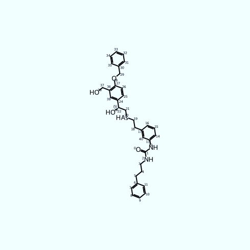 O=C(NCCCc1ccccc1)Nc1cccc(CC[AsH]C[C@@H](O)c2ccc(OCc3ccccc3)c(CO)c2)c1